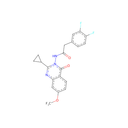 O=C(Cc1ccc(F)c(F)c1)Nn1c(C2CC2)nc2cc(OC(F)(F)F)ccc2c1=O